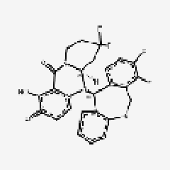 O=C1c2c(O)c(=O)ccn2N([C@@H]2c3ccccc3SCc3c2ccc(F)c3F)[C@@H]2CC(F)(F)CCN12